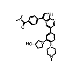 CN1CCN(c2ccc(-c3cnc4[nH]cc(-c5ccc(C(=O)N(C)C)cc5)c4c3)cc2N2CC[C@H](O)C2)CC1